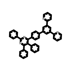 c1ccc(-c2nc(-c3ccccc3)c(-c3ccccc3)c(-c3ccc(-c4cc(-c5ccccn5)cc(-c5ccccn5)c4)cc3)n2)cc1